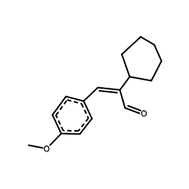 COc1ccc(C=C(C=O)C2CCCCC2)cc1